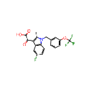 Cc1c(C(=O)C(=O)O)c2cc(F)ccc2n1Cc1cccc(OC(F)(F)F)c1